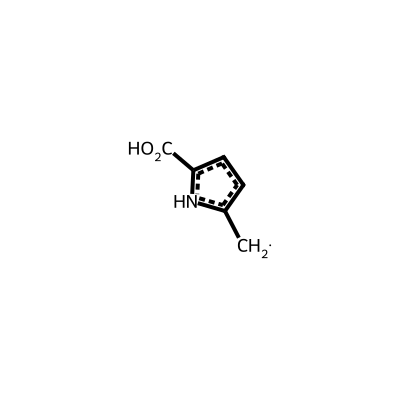 [CH2]c1ccc(C(=O)O)[nH]1